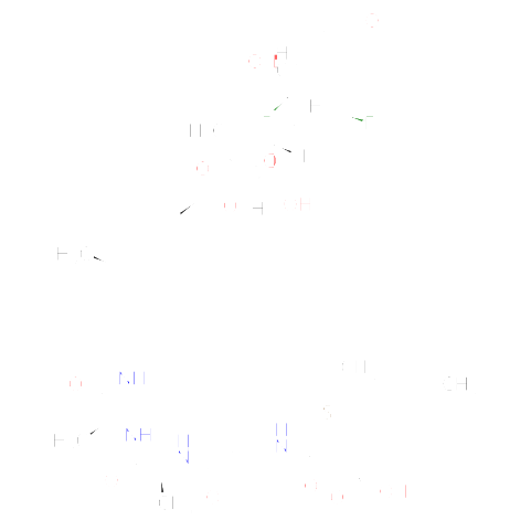 CCCCC(C)SC(CC(=O)O)C(=O)NCCC(=O)N[C@@H](C)C(=O)N[C@@H](C)C(=O)Nc1ccc([C@@H](C)c2ccc([C@@H]3O[C@@H]4C[C@H]5[C@@H]6C[C@H](F)C7=CC(=O)C=C[C@]7(C)[C@@]6(F)[C@@H](O)C[C@]5(C)[C@]4(C(=O)CO)O3)cc2)cc1